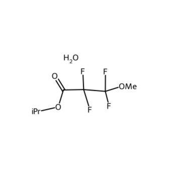 COC(F)(F)C(F)(F)C(=O)OC(C)C.O